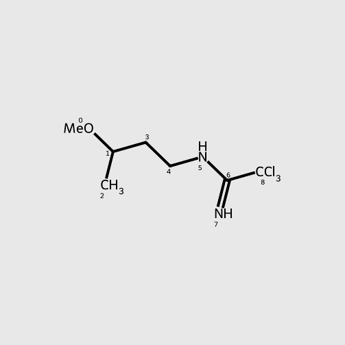 COC(C)CCNC(=N)C(Cl)(Cl)Cl